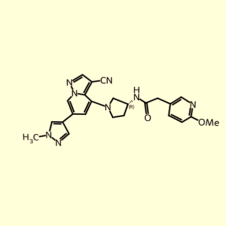 COc1ccc(CC(=O)N[C@@H]2CCN(c3cc(-c4cnn(C)c4)cn4ncc(C#N)c34)C2)cn1